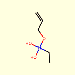 C=CCO[N+](O)(O)CC